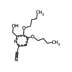 CCCCOc1cc(C#N)nc(CO)c1OCCCC